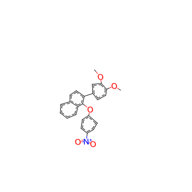 COc1ccc(-c2ccc3ccccc3c2Oc2ccc([N+](=O)[O-])cc2)cc1OC